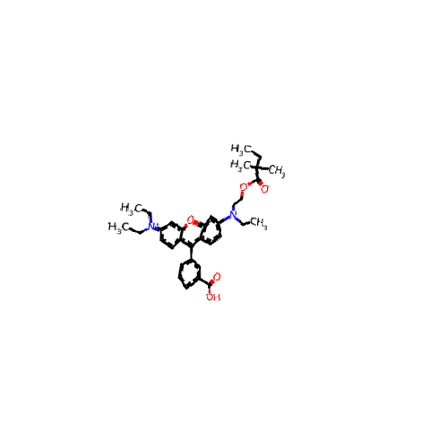 CCN(CCOC(=O)C(C)(C)CC)c1ccc2c(-c3cccc(C(=O)O)c3)c3ccc(=[N+](CC)CC)cc-3oc2c1